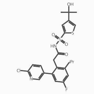 CC(C)c1cc(F)cc(-c2ccc(Cl)nc2)c1CC(=O)NS(=O)(=O)c1cc(C(C)(C)O)cs1